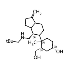 C=C1CCC2C1CCC([C@@]1(C)CC[C@H](O)C[C@@H]1CO)[C@H]2CNCC(C)(C)C